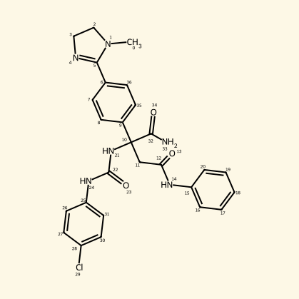 CN1CCN=C1c1ccc(C(CC(=O)Nc2ccccc2)(NC(=O)Nc2ccc(Cl)cc2)C(N)=O)cc1